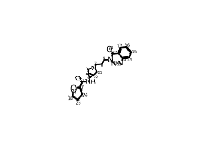 O=C(NC1C2CN(CCCn3nnc4ccccc4c3=O)CC21)C1CCCO1